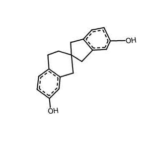 Oc1ccc2c(c1)CC1(CC2)Cc2ccc(O)cc2C1